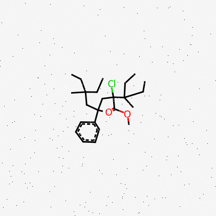 CCC(C)(CC)CC(C)(CC(Cl)(C(=O)OC)C(C)(CC)CC)c1ccccc1